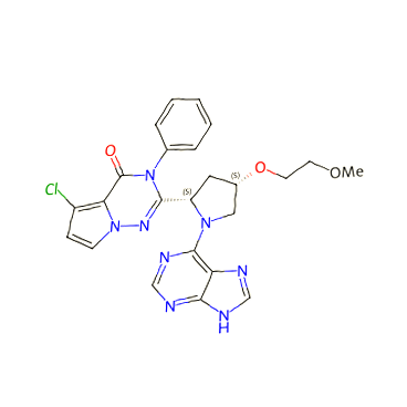 COCCO[C@H]1C[C@@H](c2nn3ccc(Cl)c3c(=O)n2-c2ccccc2)N(c2ncnc3[nH]cnc23)C1